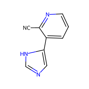 N#Cc1ncccc1-c1cnc[nH]1